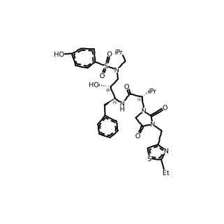 CCc1nc(CN2C(=O)CN([C@H](C(=O)N[C@@H](Cc3ccccc3)[C@H](O)CN(CC(C)C)S(=O)(=O)c3ccc(O)cc3)C(C)C)C2=O)cs1